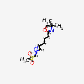 CC1(C)COC(CCCCCNCS(C)(=O)=O)=N1